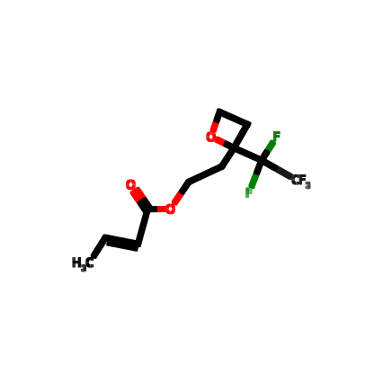 CC=CC(=O)OCCC1(C(F)(F)C(F)(F)F)CCO1